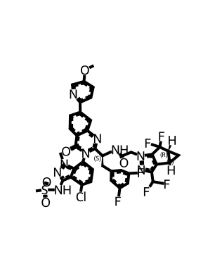 COc1ccc(-c2ccc3c(=O)n(-c4ccc(Cl)c5c(NS(C)(=O)=O)nn(C)c45)c([C@H](Cc4cc(F)cc(F)c4)NC(=O)Cn4nc(C(F)F)c5c4C(F)(F)[C@@H]4C[C@H]54)nc3c2)nc1